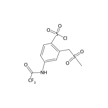 CS(=O)(=O)Cc1cc(NC(=O)C(F)(F)F)ccc1S(=O)(=O)Cl